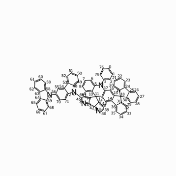 c1ccc(N2c3ccccc3C3(c4cc5c(cc42)C2(c4ccccc4-c4ccccc42)c2ccccc2-5)c2cccnc2-c2ncc(-n4c5ccccc5c5cc(-n6c7ccccc7c7ccccc76)ccc54)cc23)cc1